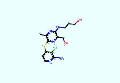 Cc1nc(NCCCO)c(CO)nc1Sc1ccnc(N)c1Cl